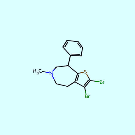 CN1CCc2c(sc(Br)c2Br)C(c2ccccc2)C1